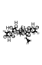 CCOP(=O)(O[C@H]1[C@@H](O)[C@H](n2cc(C)c(=O)[nH]c2=O)O[C@@H]1CC1CC1)C(F)(F)C[C@H]1OC(n2cc(C)c(=O)[nH]c2=O)[C@H](O)[C@@H]1O